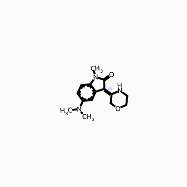 CN(C)c1ccc2c(c1)/C(=C1\COCCN1)C(=O)N2C